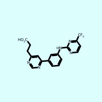 O=C(O)CCc1cc(-c2cccc(Nc3nccc(C(F)(F)F)n3)c2)ncn1